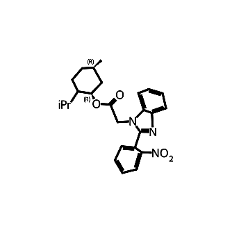 CC(C)C1CC[C@@H](C)C[C@H]1OC(=O)Cn1c(-c2ccccc2[N+](=O)[O-])nc2ccccc21